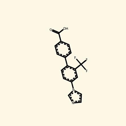 O=C(O)c1ccc(-c2ccc(-n3ccnc3)cc2C(F)(F)F)cc1